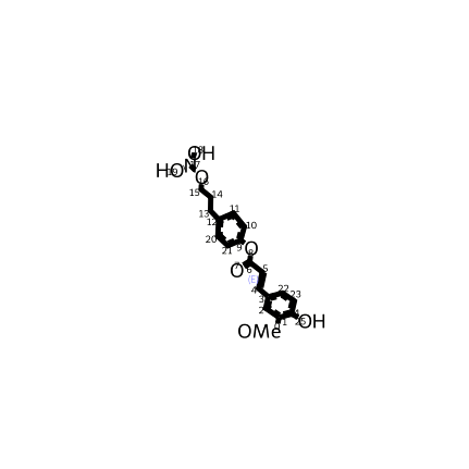 COc1cc(/C=C/C(=O)Oc2ccc(CCCON(O)O)cc2)ccc1O